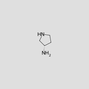 N[C@H]1CCNC1